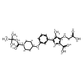 Cc1c(-c2cccc(OC3CCN(C(=O)OC(C)(C)C)CC3)c2)sc(C(=O)O)c1OCC(=O)O